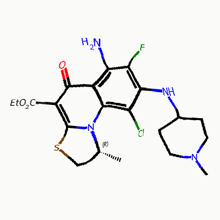 CCOC(=O)c1c2n(c3c(Cl)c(NC4CCN(C)CC4)c(F)c(N)c3c1=O)[C@H](C)CS2